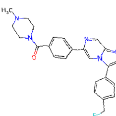 CN1CCN(C(=O)c2ccc(-c3cn4c(-c5ccc(CF)cc5)cnc4cn3)cc2)CC1